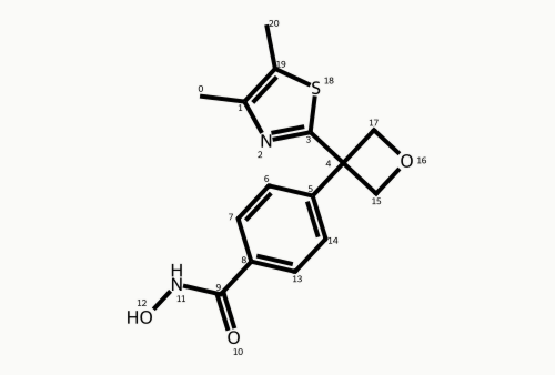 Cc1nc(C2(c3ccc(C(=O)NO)cc3)COC2)sc1C